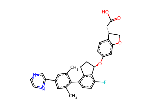 Cc1cc(-c2cnccn2)cc(C)c1-c1ccc(F)c2c1CC[C@H]2Oc1ccc2c(c1)OC[C@H]2CC(=O)O